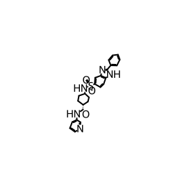 O=C(Nc1cccnc1)[C@H]1CC[C@H](NS(=O)(=O)c2ccc3[nH]c(-c4ccccc4)nc3c2)CC1